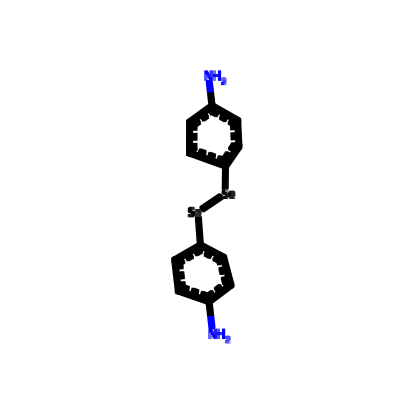 Nc1ccc([Se][Se]c2ccc(N)cc2)cc1